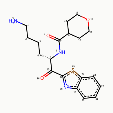 NCCCC[C@H](NC(=O)C1CCOCC1)C(=O)c1nc2ccccc2s1